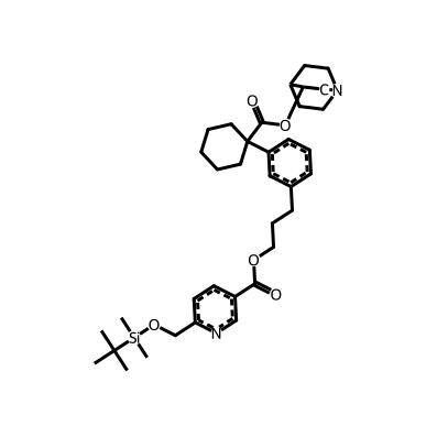 CC(C)(C)[Si](C)(C)OCc1ccc(C(=O)OCCCc2cccc(C3(C(=O)OC4CN5CCC4CC5)CCCCC3)c2)cn1